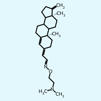 C=C1CCC2C3CCC4=C/C(=C/C=NOCCN(C)C)CC[C@]4(C)C3CC[C@]12C